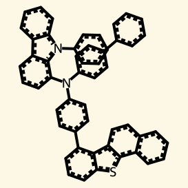 c1ccc(-c2ccc(N(c3ccc(-c4cccc5sc6c7ccccc7ccc6c45)cc3)c3cccc4c5ccccc5n(-c5ccccc5)c34)cc2)cc1